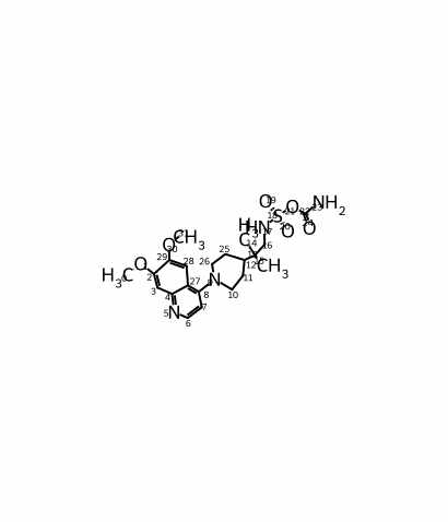 COc1cc2nccc(N3CCC(C(C)(C)CNS(=O)(=O)OC(N)=O)CC3)c2cc1OC